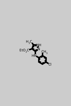 CCOC(=O)c1c(Nc2ccc(Cl)cc2C)n[nH]c1C